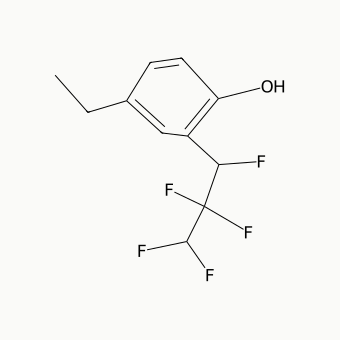 CCc1ccc(O)c(C(F)C(F)(F)C(F)F)c1